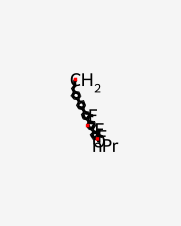 C=CCCC1CCC(C2CC=C(c3ccc(-c4ccc(-c5ccc(OCCC)c(F)c5F)cc4)c(F)c3)CC2)CC1